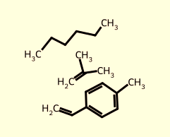 C=C(C)C.C=Cc1ccc(C)cc1.CCCCCC